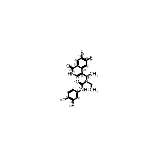 CCN(C(=O)Nc1ccc(F)c(F)c1)[C@H](C)c1c[nH]c(=O)c2cc(F)c(F)cc12